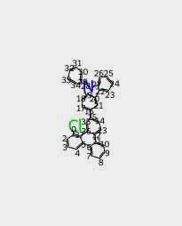 Clc1cccc2c3ccccc3c3ccc(-c4ccc5c(c4)c4ccccc4n5-c4ccccc4)cc3c12